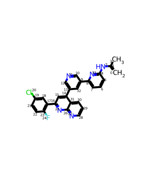 C=C(C)Nc1cccc(-c2cncc(-c3cc(-c4cc(Cl)ccc4F)nc4ncccc34)c2)n1